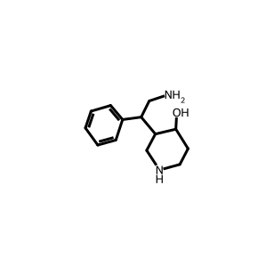 NCC(c1ccccc1)C1CNCCC1O